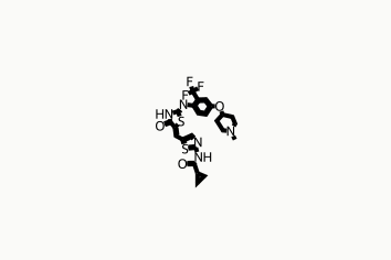 CN1CCC(Oc2ccc(/N=C3/NC(=O)/C(=C/c4cnc(NC(=O)C5CC5)s4)S3)c(C(F)(F)F)c2)CC1